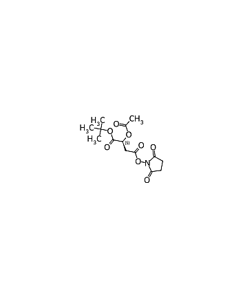 CC(=O)O[C@@H](CC(=O)ON1C(=O)CCC1=O)C(=O)OC(C)(C)C